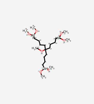 CO[SiH](CCCCC(CCCC[SiH](OC)OC)(CCCC[SiH](OC)OC)O[SiH3])OC